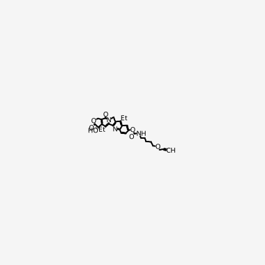 C#CCOCCCCCNC(=O)Oc1ccc2nc3c(c(CC)c2c1)Cn1c-3cc2c(c1=O)COC(=O)[C@]2(O)CC